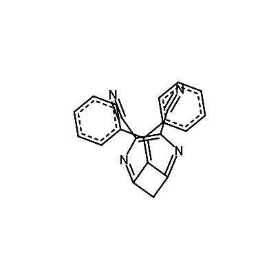 N#CC1=C(C#N)N=C2CC(=N1)C2=C(c1ccccc1)c1ccccc1